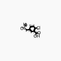 O=C(O)c1cc(C[SH](=O)=O)ccc1Cl